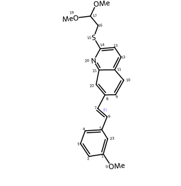 COc1cccc(/C=C/c2ccc3ccc(SCC(OC)OC)nc3c2)c1